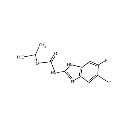 CC(C)OC(=O)Nc1nc2cc(F)c(F)cc2[nH]1